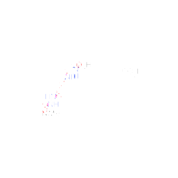 CNOCC(=O)NCCNC(=O)COCCOCCNC(=O)CC[C@H](NC(=O)CCCCCCCCCCCCCCCCC(=O)O)C(=O)O